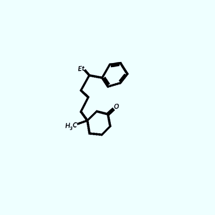 CCC(CCCC1(C)CCCC(=O)C1)c1ccccc1